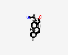 CC1CC[C@@]2(C)C(=CC[C@H]3[C@@H]4CC(=O)[C@H]([C@H](C)C#N)[C@@]4(C)CC[C@@H]32)C1